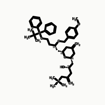 C=C1C[C@H](C[C@@H](O)CC(=C)C[Si](C)(C)C)O[C@H](C[C@H](CCO[Si](c2ccccc2)(c2ccccc2)C(C)(C)C)OCc2ccc(OC)cc2)C1